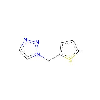 [c]1ccc(Cn2ccnn2)s1